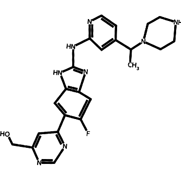 CC(c1ccnc(Nc2nc3cc(F)c(-c4cc(CO)ncn4)cc3[nH]2)c1)N1CCNCC1